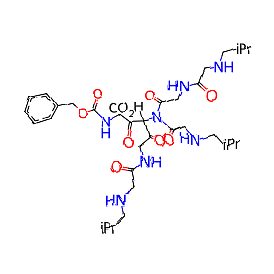 CC(C)CNCC(=O)NCC(=O)N(C(=O)CNCC(C)C)C(C(=O)O)(C(=O)CNC(=O)CNCC(C)C)C(=O)CNC(=O)OCc1ccccc1